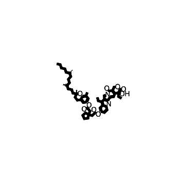 CCCCC[C@H](C)CCC[C@H](C)CCC[C@@]1(C)CCc2cc(OC(=O)CC3(CC(=O)Oc4ccc5nc6c(c(CC)c5c4)Cn4c-6cc5c(c4=O)COC(=O)[C@]5(O)CC)CCCC3)cc(C)c2O1